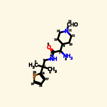 CC(C)(CNC(=O)C(N)C1CCN(C=O)CC1)c1cccs1